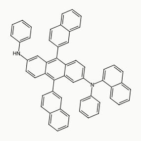 c1ccc(Nc2ccc3c(-c4ccc5ccccc5c4)c4cc(N(c5ccccc5)c5cccc6ccccc56)ccc4c(-c4ccc5ccccc5c4)c3c2)cc1